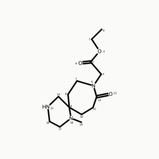 CCOC(=O)CN1CCC2(CCC1=O)CNCCN2C